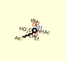 CCC(CC)O[C@@H]1C(CCCCCCSC(C)=O)=C(C(=O)O)C[C@H](NC(=O)OC(C)(C)C)C1NC(C)=O